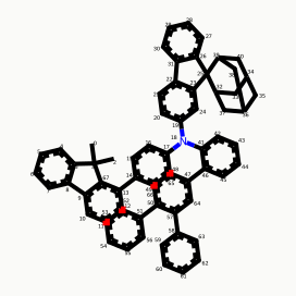 CC1(C)c2ccccc2-c2cccc(-c3ccc(N(c4ccc5c(c4)C4(c6ccccc6-5)C5CC6CC(C5)CC4C6)c4ccccc4-c4ccc(-c5ccccc5)c(-c5ccccc5)c4)cc3)c21